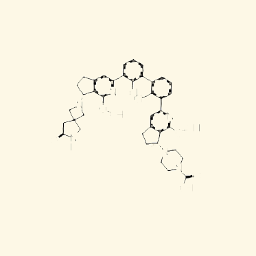 COc1nc(-c2cccc(-c3cccc(-c4cc5c(c(OC)n4)[C@@H](N4CC6(CNC(=O)C6)C4)CC5)c3Cl)c2Cl)cc2c1[C@@H](N1CCN(C(C)=O)CC1)CC2